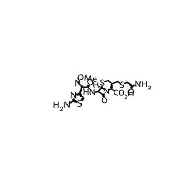 CO/N=C(\C(=O)NC1C(=O)N2C(C(=O)O)=C(CSCC(N)=O)CS[C@@H]12)c1csc(N)n1